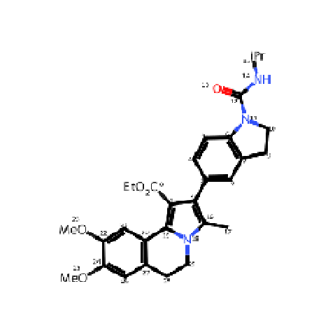 CCOC(=O)c1c(-c2ccc3c(c2)CCN3C(=O)NC(C)C)c(C)n2c1-c1cc(OC)c(OC)cc1CC2